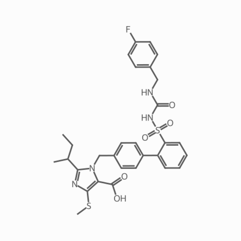 CCC(C)c1nc(SC)c(C(=O)O)n1Cc1ccc(-c2ccccc2S(=O)(=O)NC(=O)NCc2ccc(F)cc2)cc1